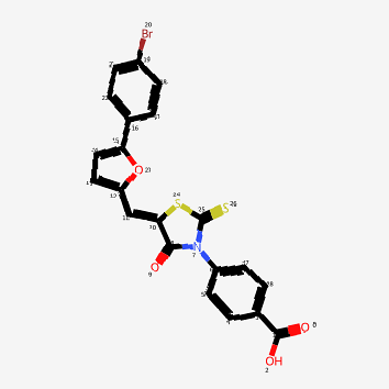 O=C(O)c1ccc(N2C(=O)C(=Cc3ccc(-c4ccc(Br)cc4)o3)SC2=S)cc1